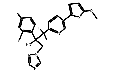 COc1ccc(-c2ccc(C(F)(F)C(O)(Cn3cnnn3)c3ccc(F)cc3F)nc2)s1